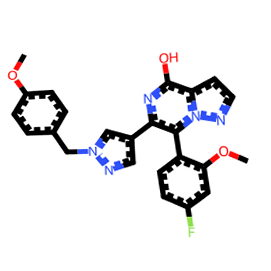 COc1ccc(Cn2cc(-c3nc(O)c4ccnn4c3-c3ccc(F)cc3OC)cn2)cc1